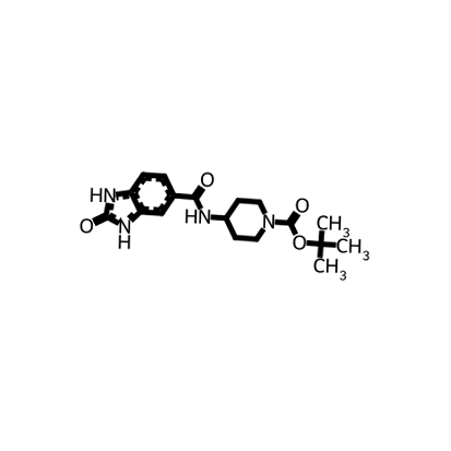 CC(C)(C)OC(=O)N1CCC(NC(=O)c2ccc3[nH]c(=O)[nH]c3c2)CC1